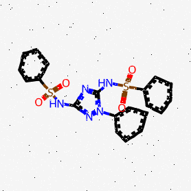 O=S(=O)(Nc1nc(NS(=O)(=O)c2ccccc2)n(-c2ccccc2)n1)c1ccccc1